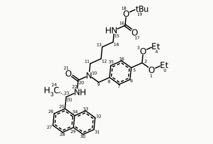 CCOC(OCC)c1ccc(CN(CCCCNC(=O)OC(C)(C)C)C(=O)N[C@@H](C)c2cccc3ccccc23)cc1